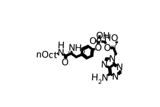 CCCCCCCCNC(=O)[C@@H](N)Cc1ccc(OP(=O)(O)CO[C@H](CO)Cn2cnc3c(N)ncnc32)cc1